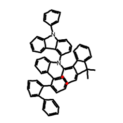 CC1(C)c2ccccc2-c2c(N(c3ccccc3-c3ccccc3-c3ccccc3-c3ccccc3)c3cccc4c3c3ccccc3n4-c3ccccc3)cccc21